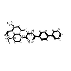 C=CCN(C)CCC[C@H](NC(=O)c1ccc(-c2cncnc2)cc1)C(=O)N1CCN(C)CC1